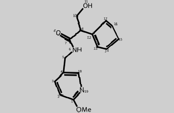 COc1ccc(CNC(=O)C(CO)c2ccccc2)cn1